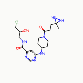 CC1(CCC(=O)N2CCC(Nc3cc(C(=O)NC[C@H](O)CCl)ncn3)CC2)NN1